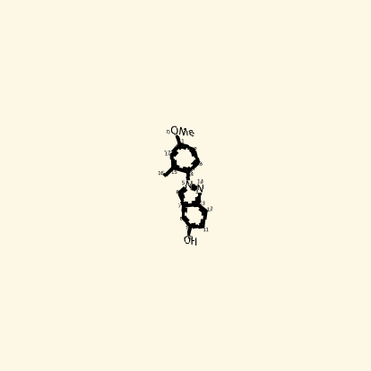 COc1ccc(-n2cc3cc(O)ccc3n2)c(C)c1